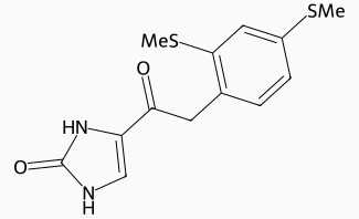 CSc1ccc(CC(=O)c2c[nH]c(=O)[nH]2)c(SC)c1